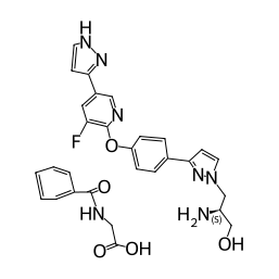 N[C@H](CO)Cn1ccc(-c2ccc(Oc3ncc(-c4cc[nH]n4)cc3F)cc2)n1.O=C(O)CNC(=O)c1ccccc1